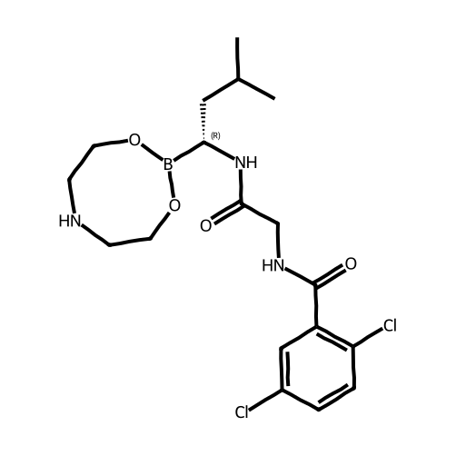 CC(C)C[C@H](NC(=O)CNC(=O)c1cc(Cl)ccc1Cl)B1OCCNCCO1